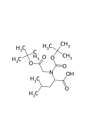 CC(C)CC(C(=O)O)N(CC(=O)OC(C)(C)C)C(=O)OC(C)(C)C